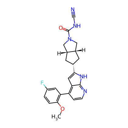 COc1ccc(F)cc1-c1ccnc2[nH]c([C@@H]3C[C@@H]4CN(C(=O)NC#N)C[C@@H]4C3)cc12